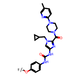 Cc1ccc(N2CCN(C(=O)c3nc(NC(=O)Nc4ccc(OC(F)(F)F)cc4)cn3CC3CC3)CC2)nc1